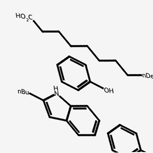 CCCCCCCCCCCCCCCCCC(=O)O.CCCCc1cc2ccccc2[nH]1.Oc1ccccc1.Oc1ccccc1